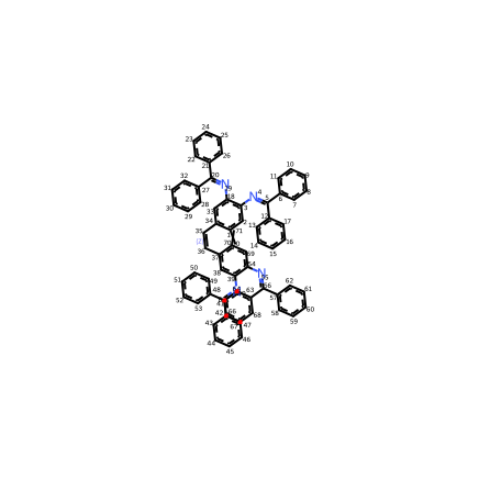 Cc1cc(N=C(c2ccccc2)c2ccccc2)c(N=C(c2ccccc2)c2ccccc2)cc1/C=C\c1cc(N=C(c2ccccc2)c2ccccc2)c(N=C(c2ccccc2)c2ccccc2)cc1C